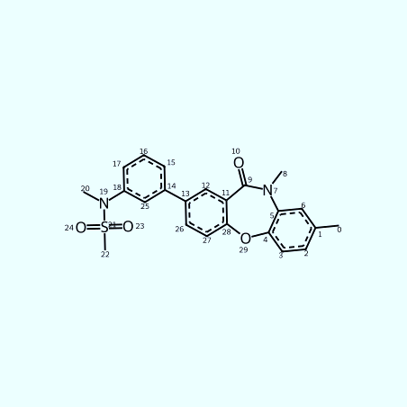 Cc1ccc2c(c1)N(C)C(=O)c1cc(-c3cccc(N(C)S(C)(=O)=O)c3)ccc1O2